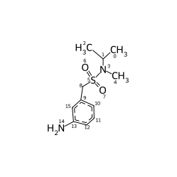 CC(C)N(C)S(=O)(=O)Cc1cccc(N)c1